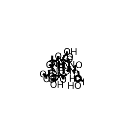 CC(=O)N[C@@H](CC(=O)O)C(=O)N[C@@H](CCC(=O)O)C(=O)N[C@H](C(=O)N[C@@H](CC(=O)O)C(=O)NCC(=O)N[C@@H](Cc1ccc(O)c(I)c1)C(N)=O)C(C)C